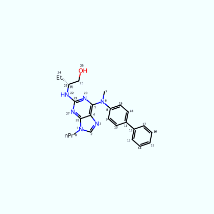 CCCn1cnc2c(N(C)c3ccc(-c4ccccc4)cc3)nc(N[C@H](CC)CO)nc21